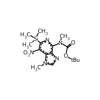 CN(C(=O)OC(C)(C)C)c1nc([Si](C)(C)C)c([N+](=O)[O-])c2c1ncn2C